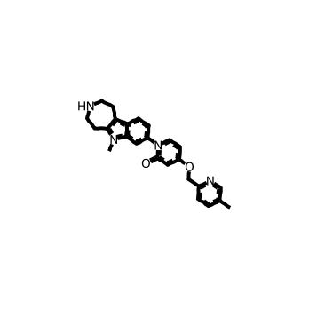 Cc1ccc(COc2ccn(-c3ccc4c5c(n(C)c4c3)CCNCC5)c(=O)c2)nc1